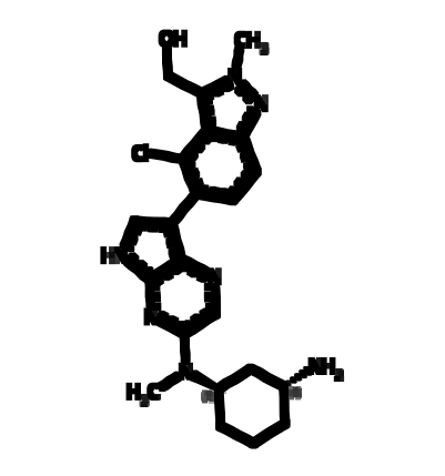 CN(c1cnc2c(-c3ccc4nn(C)c(CO)c4c3Cl)c[nH]c2n1)[C@@H]1CCC[C@@H](N)C1